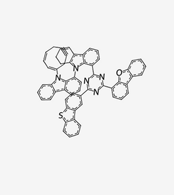 C1#CC/C(n2c3ccccc3c3cccc(-n4c5c(c6cccc(-c7nc(-c8ccc9sc%10ccccc%10c9c8)nc(-c8cccc9c8oc8ccccc89)n7)c64)C=CCC5)c32)=C\C=C/C1